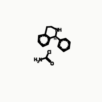 NC(=O)Cl.c1ccc([C@@H]2NCCc3ccccc32)cc1